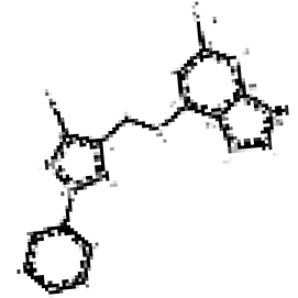 CCc1nn(-c2ccccc2)nc1CSc1cc(N)nc2[nH]nnc12